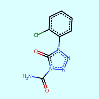 NC(=O)n1nnn(-c2ccccc2Cl)c1=O